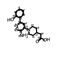 Nc1nnc(-c2ccccc2O)cc1N1CCC(CC(=O)O)CC1